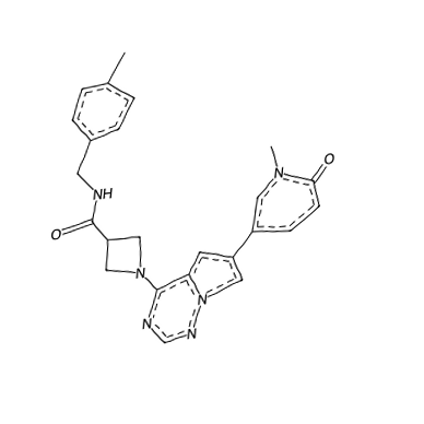 Cc1ccc(CNC(=O)C2CN(c3ncnn4cc(-c5ccc(=O)n(C)c5)cc34)C2)cc1